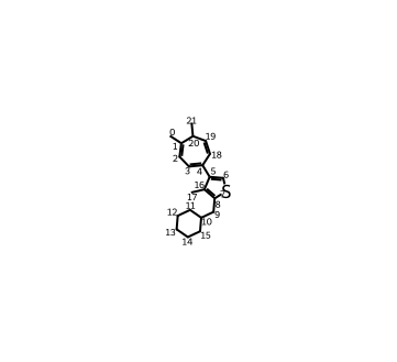 CC1=CC=C(c2csc(CC3CCCCC3)c2C)C=CC1C